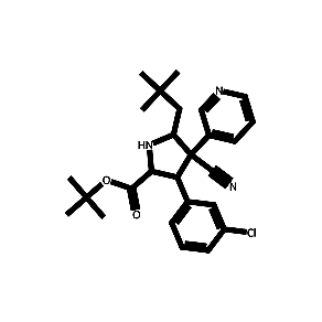 CC(C)(C)CC1NC(C(=O)OC(C)(C)C)C(c2cccc(Cl)c2)C1(C#N)c1cccnc1